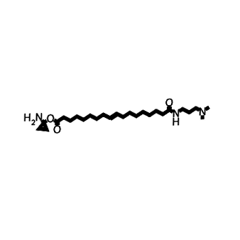 CN(C)CCCNC(=O)CCCCCCC/C=C/CCCCCCCC(=O)OC1(N)CC1